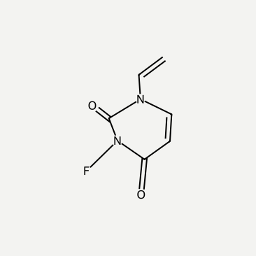 C=Cn1ccc(=O)n(F)c1=O